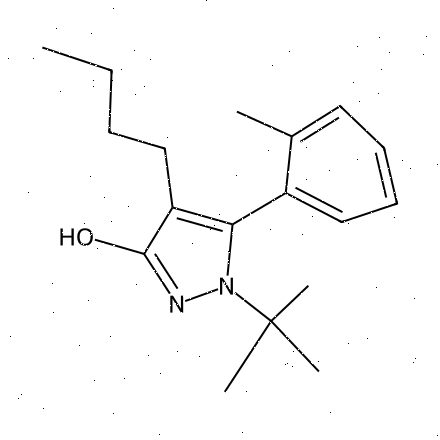 CCCCc1c(O)nn(C(C)(C)C)c1-c1ccccc1C